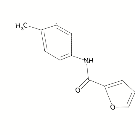 Cc1[c]cc(NC(=O)c2ccco2)cc1